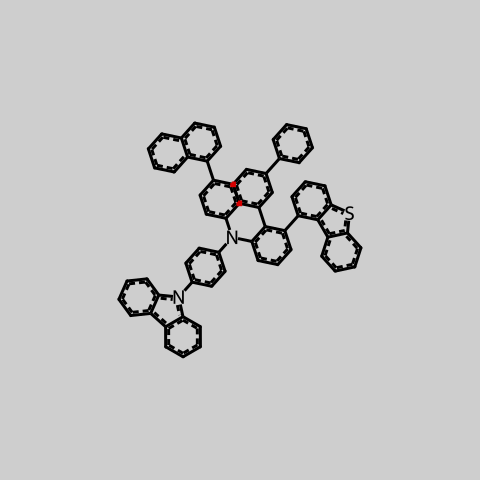 c1ccc(-c2cccc(-c3c(-c4cccc5sc6ccccc6c45)cccc3N(c3ccc(-c4cccc5ccccc45)cc3)c3ccc(-n4c5ccccc5c5ccccc54)cc3)c2)cc1